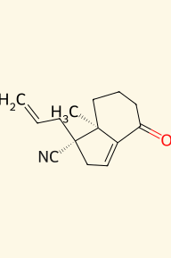 C=CC[C@]1(C#N)CC=C2C(=O)CCC[C@@]21C